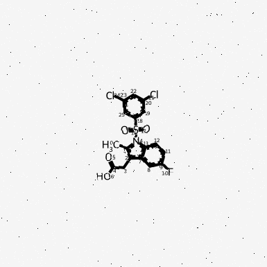 Cc1c(CC(=O)O)c2cc(F)ccc2n1S(=O)(=O)c1cc(Cl)cc(Cl)c1